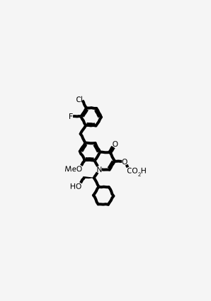 COc1cc(Cc2cccc(Cl)c2F)cc2c(=O)c(OC(=O)O)cn([C@H](CO)C3CCCCC3)c12